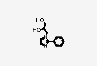 OCC(O)Cn1ccnc1-c1ccccc1